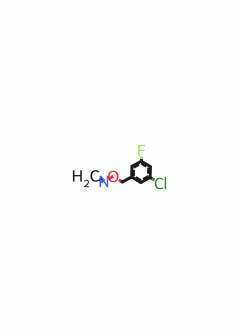 C=NOCc1cc(F)cc(Cl)c1